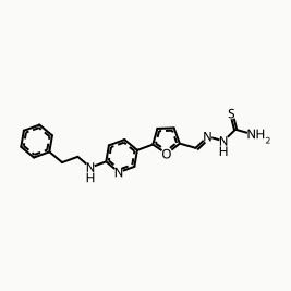 NC(=S)N/N=C/c1ccc(-c2ccc(NCCc3ccccc3)nc2)o1